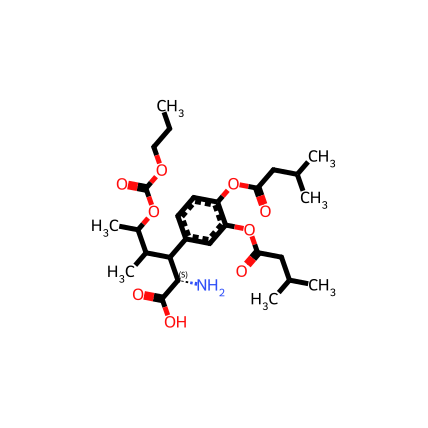 CCCOC(=O)OC(C)C(C)C(c1ccc(OC(=O)CC(C)C)c(OC(=O)CC(C)C)c1)[C@H](N)C(=O)O